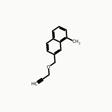 C#CCOCc1ccc2cccc(C)c2c1